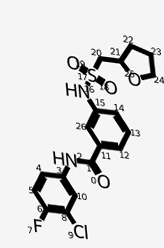 O=C(Nc1ccc(F)c(Cl)c1)c1cccc(NS(=O)(=O)CC2CCCO2)c1